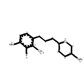 CCCc1ccc(CCCC2CCC(CCC)CO2)c(C)c1F